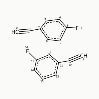 C#Cc1ccc(F)cc1.C#Cc1cccc(F)c1